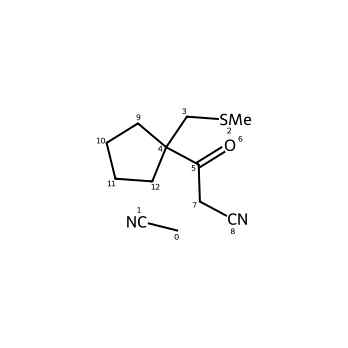 CC#N.CSCC1(C(=O)CC#N)CCCC1